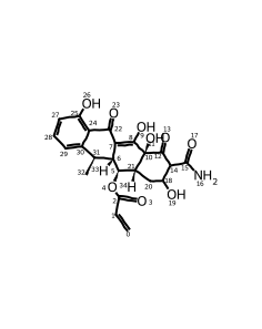 C=CC(=O)O[C@H]1[C@H]2C(=C(O)[C@]3(O)C(=O)C(C(N)=O)C(O)C[C@H]13)C(=O)c1c(O)cccc1[C@@H]2C